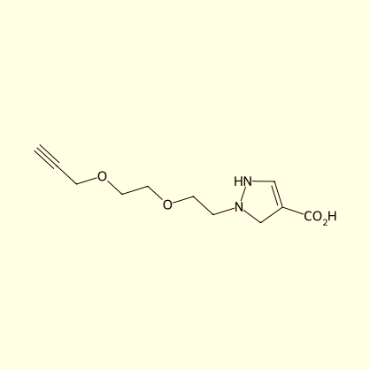 C#CCOCCOCCN1CC(C(=O)O)=CN1